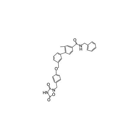 Cc1cc(C(=O)NCc2ccccc2)ccc1-c1cccc(COc2ccc(Cn3oc(=O)[nH]c3=O)cc2)c1